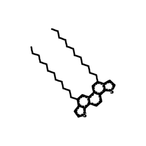 CCCCCCCCCCCCc1cc2c3cc(CCCCCCCCCCCC)c4ccsc4c3ccc2c2sccc12